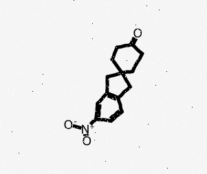 O=C1CCC2(CC1)Cc1ccc([N+](=O)[O-])cc1C2